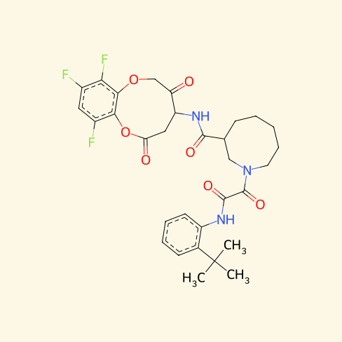 CC(C)(C)c1ccccc1NC(=O)C(=O)N1CCCCCC(C(=O)NC2CC(=O)Oc3c(F)cc(F)c(F)c3OCC2=O)C1